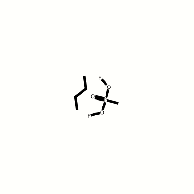 CCCC.CP(=O)(OF)OF